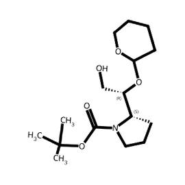 CC(C)(C)OC(=O)N1CCC[C@H]1[C@H](CO)OC1CCCCO1